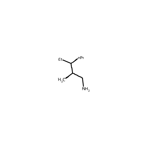 CCCC(CC)C(C)CN